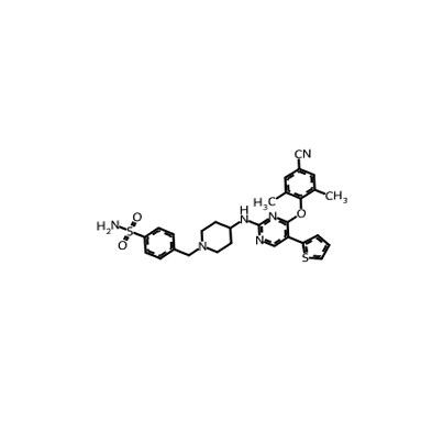 Cc1cc(C#N)cc(C)c1Oc1nc(NC2CCN(Cc3ccc(S(N)(=O)=O)cc3)CC2)ncc1-c1cccs1